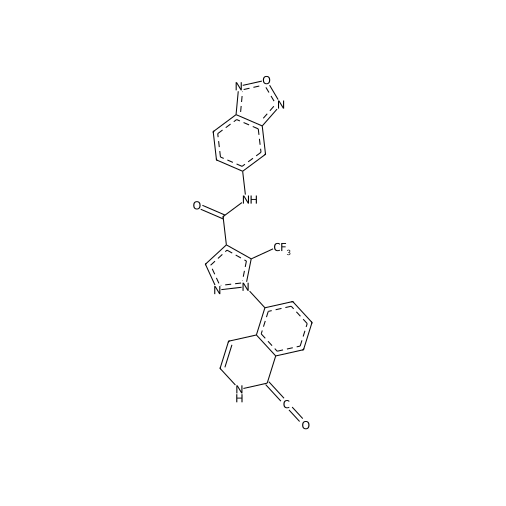 O=C=C1NC=Cc2c1cccc2-n1ncc(C(=O)Nc2ccc3nonc3c2)c1C(F)(F)F